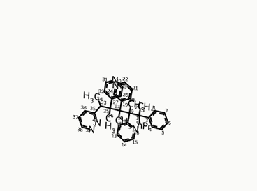 CCCC(C)(c1ccccc1)C(C)(c1ccccn1)C(C)(c1cccnc1)C(C)(c1ccncc1)C(C)c1cccnn1